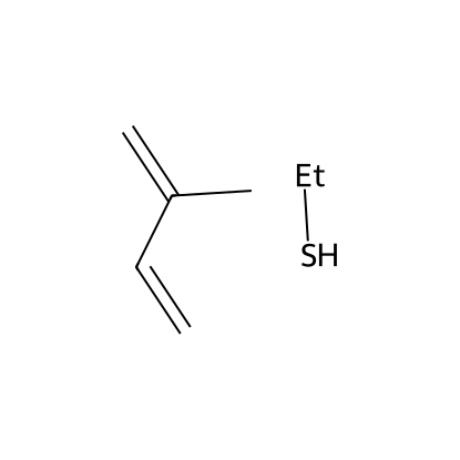 C=CC(=C)C.CCS